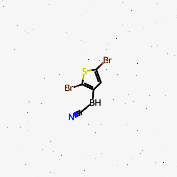 N#CBc1cc(Br)sc1Br